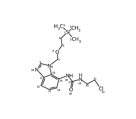 C[Si](C)(C)CCOCn1cnc2cccc(NC(=O)NCCCl)c21